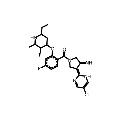 CCC1CC(Oc2cc(F)ccc2C(=O)N2CC(=N)/C(=C3/N=CC(Cl)=CN3)C2)C(F)C(C)N1